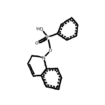 O=P(O)(ON1CC=Cc2ccccc21)c1ccccc1